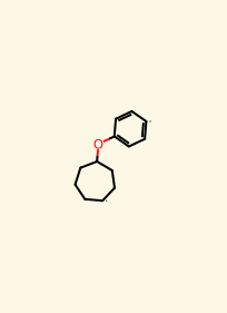 [c]1ccc(OC2CC[CH]CCC2)cc1